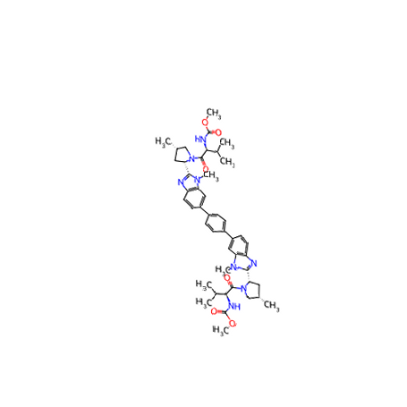 COC(=O)N[C@H](C(=O)N1C[C@@H](C)C[C@H]1c1nc2ccc(-c3ccc(-c4ccc5nc([C@@H]6C[C@H](C)CN6C(=O)[C@@H](NC(=O)OC)C(C)C)n(C)c5c4)cc3)cc2n1C)C(C)C